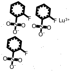 O=S(=O)([O-])c1ccccc1F.O=S(=O)([O-])c1ccccc1F.O=S(=O)([O-])c1ccccc1F.[Lu+3]